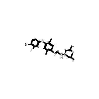 Cc1cc(Oc2ccc(Br)c(F)c2)c(C)cc1N=CNN1CC(C)OC(C)C1